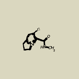 CNC(=O)c1c(Cl)cc2n1CCC2